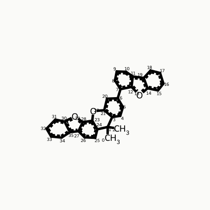 CC1(C)c2ccc(-c3cccc4c3oc3ccccc34)cc2Oc2c1ccc1c2oc2ccccc21